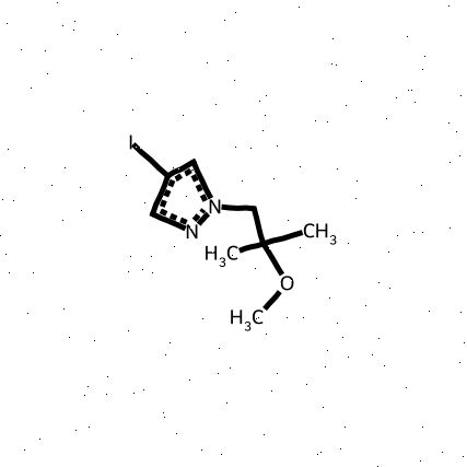 COC(C)(C)Cn1cc(I)cn1